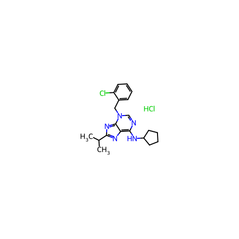 CC(C)c1nc2c(NC3CCCC3)ncn(Cc3ccccc3Cl)c-2n1.Cl